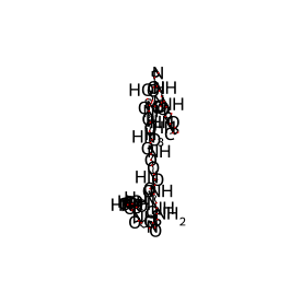 Cc1ccccc1NC(=O)Nc1ccc(CC(=O)N[C@@H](CCCCNC(=O)/C=C/c2cccnc2)C(=O)N[C@@H](CCCC(=O)O)C(=O)NC2(C(=O)NCCOCCOCCNC(=O)CCC(=O)NCCOCCOCCNC(=O)CCC(=O)N[C@@H](CCCCNC(=O)[C@H](N)CSC3CC(=O)N(CC4CCC(C(=O)NCCCC(O)(O[PH](=O)O)O[PH](=O)O)CC4)C3=O)C(N)=O)CCCCC2)cc1